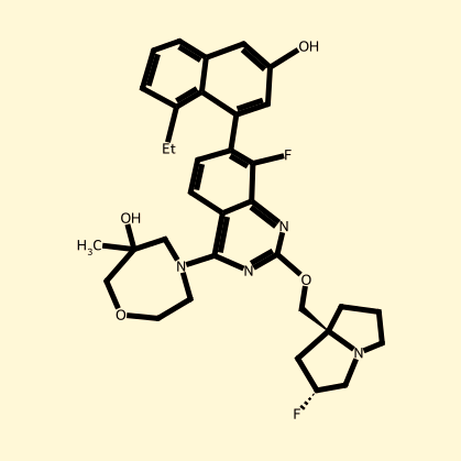 CCc1cccc2cc(O)cc(-c3ccc4c(N5CCOCC(C)(O)C5)nc(OC[C@@]56CCCN5C[C@H](F)C6)nc4c3F)c12